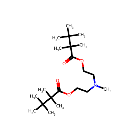 CN(CCOC(=O)C(C)(C)C(C)(C)C)CCOC(=O)C(C)(C)C(C)(C)C